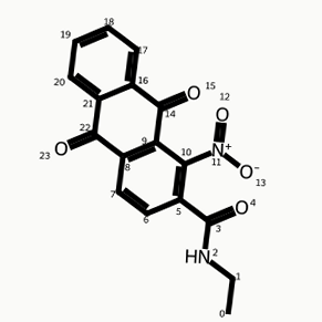 CCNC(=O)c1ccc2c(c1[N+](=O)[O-])C(=O)c1ccccc1C2=O